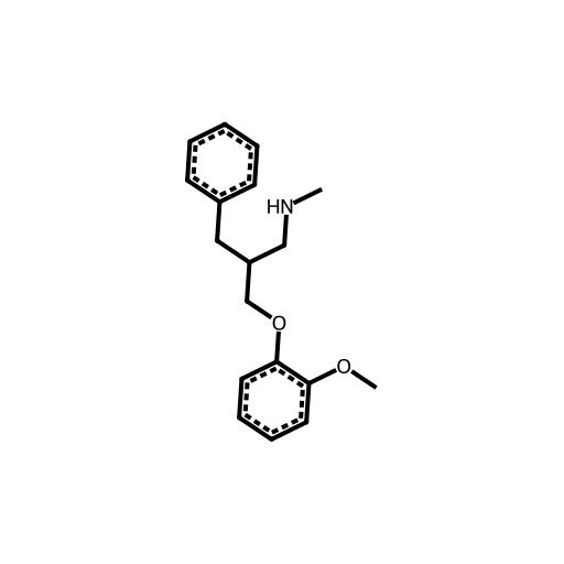 CNCC(COc1ccccc1OC)Cc1ccccc1